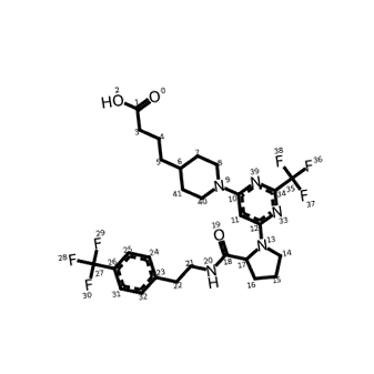 O=C(O)CCCC1CCN(c2cc(N3CCCC3C(=O)NCCc3ccc(C(F)(F)F)cc3)nc(C(F)(F)F)n2)CC1